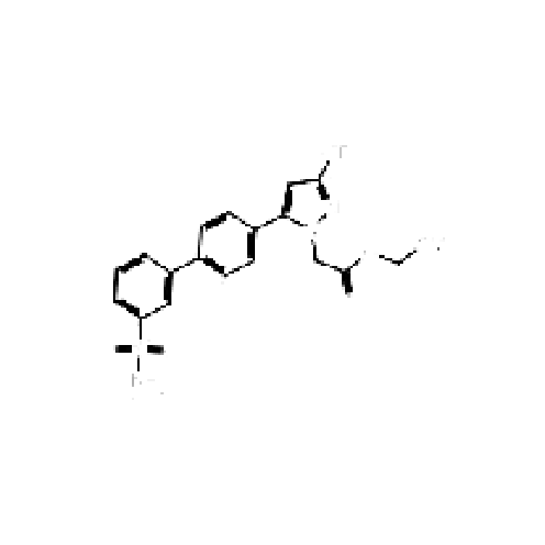 CSCOC(=O)Cn1nc(C(F)(F)F)cc1-c1ccc(-c2cccc(S(N)(=O)=O)c2)cc1